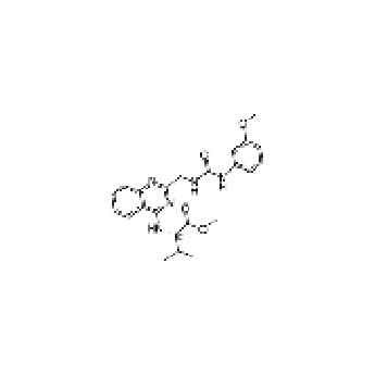 COC(=O)[C@@H](Nc1nc(CNC(=O)Nc2cccc(OC)c2)nc2ccccc12)C(C)C